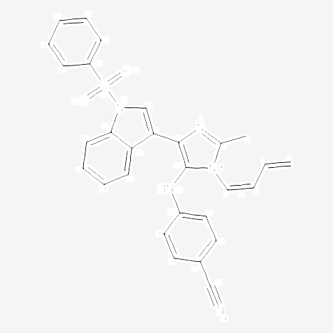 C=C/C=C\n1c(C)nc(-c2cn(S(=O)(=O)c3ccccc3)c3ccccc23)c1Nc1ccc(C#N)cc1